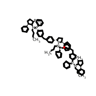 CCCCN(C1[C@@H](c2ccccc2)CC[C@@H]1P)P(c1ccccc1)c1ccc(Cc2ccc([C@@H]3CC[C@@H](c4ccc(Cc5ccc(P(c6ccccc6)N(CCCC)C6[C@H](P)CC[C@H]6c6ccccc6)cc5)cc4)P3N(CCCC)P(c3ccccc3)c3ccccc3)cc2)cc1